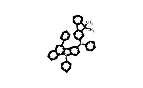 CC1(C)c2ccccc2-c2ccc(N(c3ccccc3)c3ccc4c(c3)c3c(-c5ccccc5)cc5ccccc5c3n4-c3ccccc3)cc21